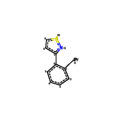 CC(C)c1ccccc1-c1ccsn1